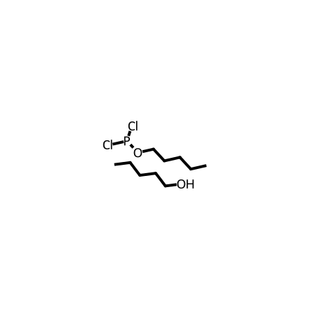 CCCCCO.CCCCCOP(Cl)Cl